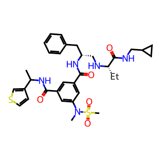 CC[C@H](NC[C@@H](Cc1ccccc1)NC(=O)c1cc(C(=O)NC(C)c2ccsc2)cc(N(C)S(C)(=O)=O)c1)C(=O)NCC1CC1